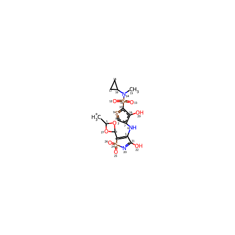 CC1OC(C2=C(Nc3csc(S(=O)(=O)N(C)C4CC4)c3O)C(O)=NS2(=O)=O)O1